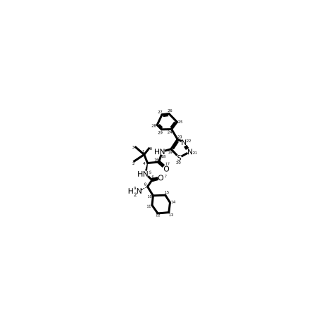 CC(C)(C)[C@H](NC(=O)[C@@H](N)C1CCCCC1)C(=O)Nc1snnc1-c1ccccc1